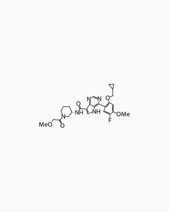 COCC(=O)N1CCC[C@H](NC(=O)c2c[nH]c3c(-c4cc(F)c(OC)cc4OCC4CC4)ncnc23)C1